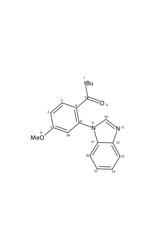 COc1ccc(C(=O)C(C)(C)C)c(-n2cnc3ccccc32)c1